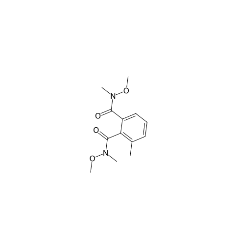 CON(C)C(=O)c1cccc(C)c1C(=O)N(C)OC